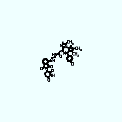 Cc1sc2c(c1C)C(c1ccc(Cl)cc1)=N[C@@H](CC(=O)NCCNc1cccc3c1C(=O)N(C1CCC(=O)NC1=O)C3=O)c1nnc(C)n1-2